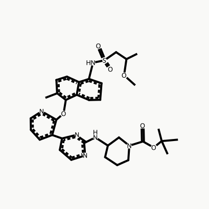 COC(C)CS(=O)(=O)Nc1cccc2c(Oc3ncccc3-c3ccnc(NC4CCCN(C(=O)OC(C)(C)C)C4)n3)c(C)ccc12